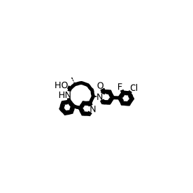 C[C@@H]1CCC[C@H](n2ccc(-c3cccc(Cl)c3F)cc2=O)c2cc(ccn2)-c2ccccc2NC1O